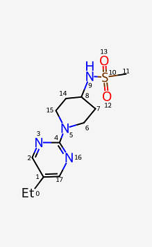 CCc1cnc(N2CCC(NS(C)(=O)=O)CC2)nc1